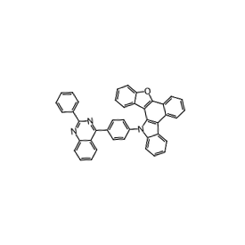 c1ccc(-c2nc(-c3ccc(-n4c5ccccc5c5c6ccccc6c6oc7ccccc7c6c54)cc3)c3ccccc3n2)cc1